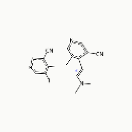 CN(C)/C=C/c1c(I)cncc1C#N.Cc1c(I)cncc1C#N